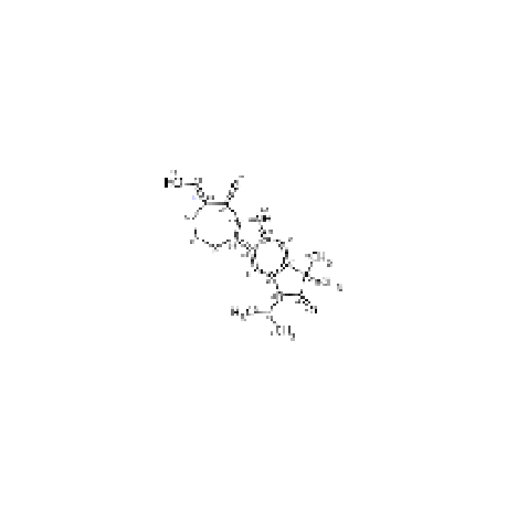 CC(C)N1C(=O)C(C)(C)c2cc3[nH]c4c(c3cc21)CCC/C(=C\O)C4=O